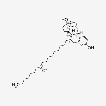 CCCCCCC[S+]([O-])CCCCCCCCC[C@@H]1Cc2cc(O)ccc2[C@H]2CC[C@]3(C)[C@@H](O)CC[C@H]3[C@H]12